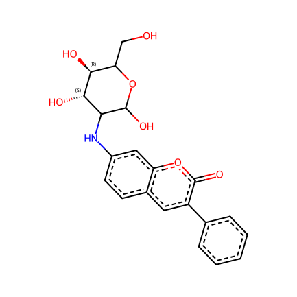 O=c1oc2cc(NC3C(O)OC(CO)[C@H](O)[C@H]3O)ccc2cc1-c1ccccc1